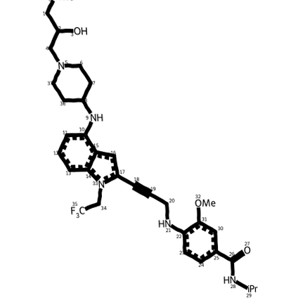 COCC(O)CN1CCC(Nc2cccc3c2cc(C#CCNc2ccc(C(=O)NC(C)C)cc2OC)n3CC(F)(F)F)CC1